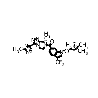 Cc1nsc(-c2nnc3n2CCN(C(=O)c2ccc4c(C(F)(F)F)cn(COCC[Si](C)(C)C)c4c2)[C@@H]3C)n1